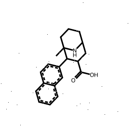 CC12CCCC(CC(C(=O)O)C1c1ccc3ccccc3c1)N2